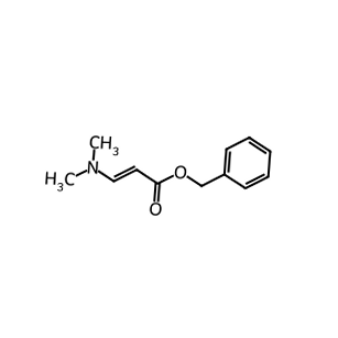 CN(C)C=CC(=O)OCc1ccccc1